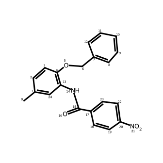 Cc1ccc(OCc2ccccc2)c(NC(=O)c2ccc([N+](=O)[O-])cc2)c1